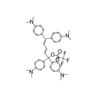 CN(C)c1ccc(C(=CC=CC(OS(=O)(=O)C(F)(F)F)(c2ccc(N(C)C)cc2)c2ccc(N(C)C)cc2)c2ccc(N(C)C)cc2)cc1